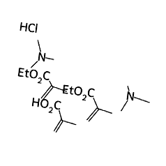 C=C(C)C(=O)O.C=C(C)C(=O)OCC.C=C(C)C(=O)OCC.CN(C)C.CN(C)C.Cl